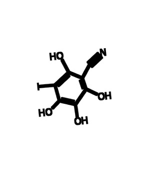 N#Cc1c(O)c(O)c(O)c(I)c1O